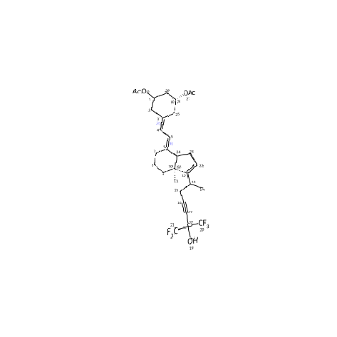 CC(=O)OC1C/C(=C/C=C2\CCC[C@]3(C)C(C(C)CC#CC(O)(C(F)(F)F)C(F)(F)F)=CCC23)C[C@@H](OC(C)=O)C1